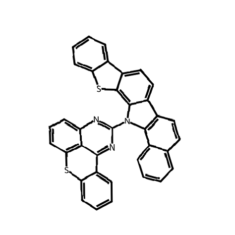 c1ccc2c(c1)Sc1cccc3nc(-n4c5c6ccccc6ccc5c5ccc6c7ccccc7sc6c54)nc-2c13